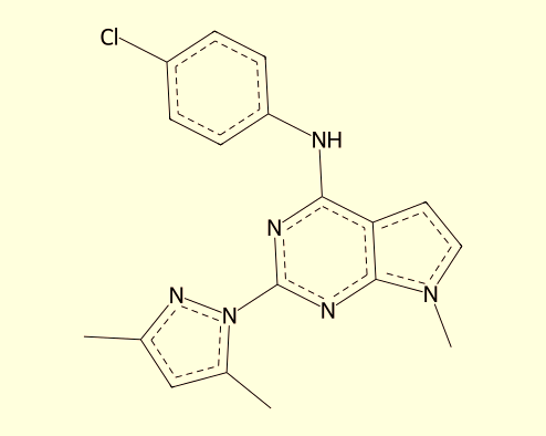 Cc1cc(C)n(-c2nc(Nc3ccc(Cl)cc3)c3ccn(C)c3n2)n1